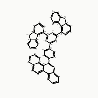 c1ccc2c(c1)cc(-c1ccc(-c3nc(-c4cccc5oc6ccccc6c45)nc(-c4cccc5sc6ccccc6c45)n3)cc1)c1c3ccccc3ccc21